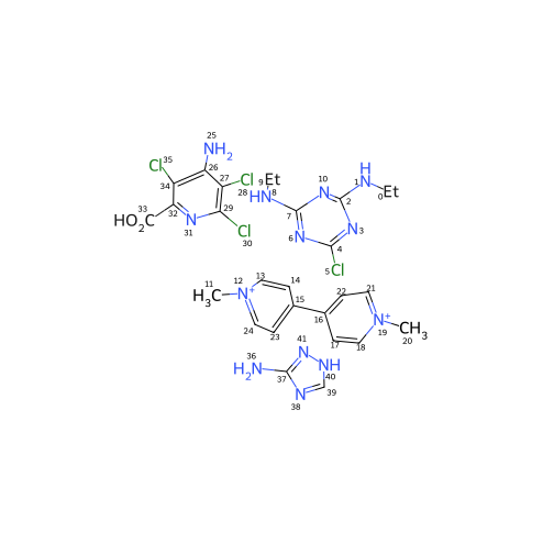 CCNc1nc(Cl)nc(NCC)n1.C[n+]1ccc(-c2cc[n+](C)cc2)cc1.Nc1c(Cl)c(Cl)nc(C(=O)O)c1Cl.Nc1nc[nH]n1